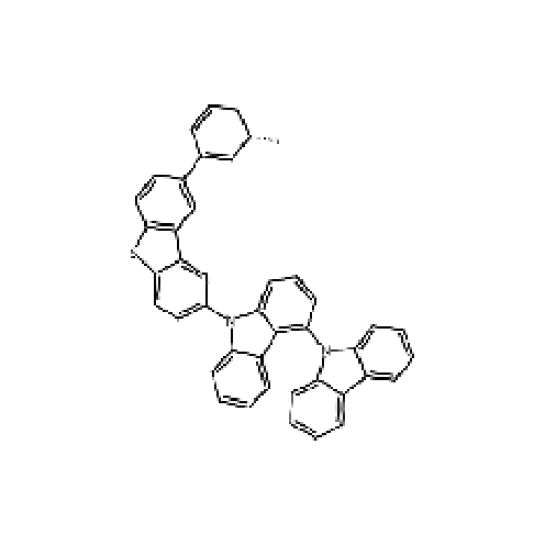 C[C@@H]1C=C(c2ccc3sc4ccc(-n5c6ccccc6c6c(-n7c8ccccc8c8ccccc87)cccc65)cc4c3c2)C=CC1